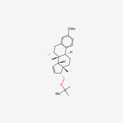 COc1ccc2c(c1)C[C@@H](C)[C@@H]1[C@@H]2CC[C@@]2(C)[C@@H]1C=C[C@H]2CO[Si](C)(C)C(C)(C)C